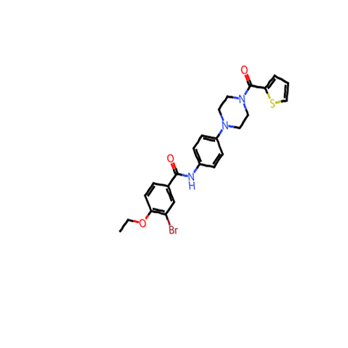 CCOc1ccc(C(=O)Nc2ccc(N3CCN(C(=O)c4cccs4)CC3)cc2)cc1Br